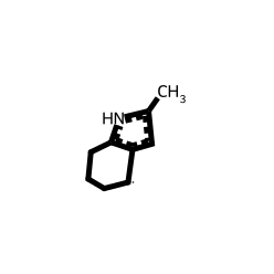 Cc1cc2c([nH]1)CCC[CH]2